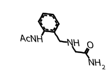 CC(=O)Nc1ccccc1CNCC(N)=O